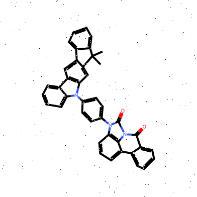 CC1(C)c2ccccc2-c2cc3c4ccccc4n(-c4ccc(-n5c(=O)n6c(=O)c7ccccc7c7cccc5c76)cc4)c3cc21